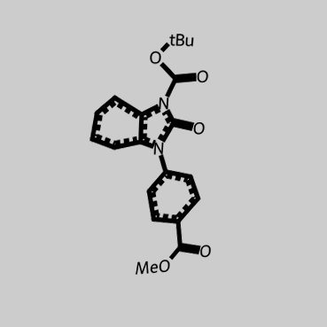 COC(=O)c1ccc(-n2c(=O)n(C(=O)OC(C)(C)C)c3ccccc32)cc1